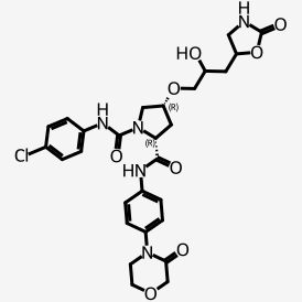 O=C1NCC(CC(O)CO[C@@H]2C[C@H](C(=O)Nc3ccc(N4CCOCC4=O)cc3)N(C(=O)Nc3ccc(Cl)cc3)C2)O1